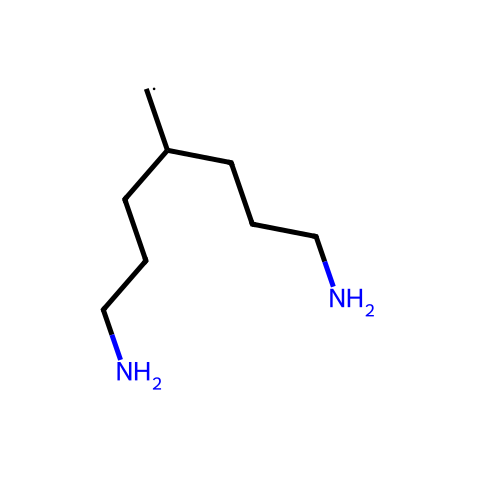 [CH2]C(CCCN)CCCN